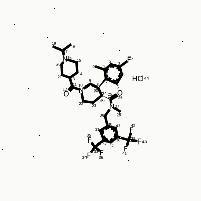 Cc1cc(F)ccc1[C@@H]1CN(C(=O)C2CCN(C(C)C)CC2)CC[C@H]1C(=O)N(C)Cc1cc(C(F)(F)F)cc(C(F)(F)F)c1.Cl